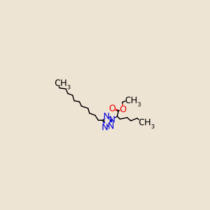 CCCCCCCCCCCCc1nnn(C(CCCCC)C(=O)OCC)n1